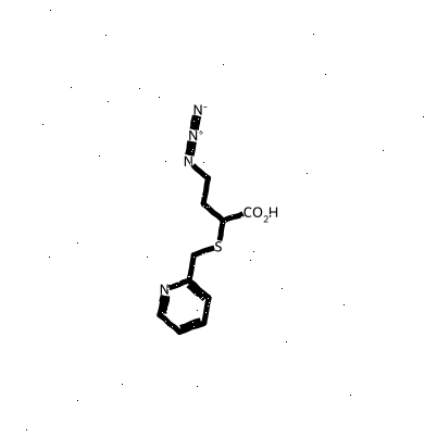 [N-]=[N+]=NCCC(SCc1ccccn1)C(=O)O